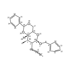 C[C@@H]1C(N=[N+]=[N-])[C@H](OCc2ccccc2)OC2COC(c3ccccc3)O[C@H]21